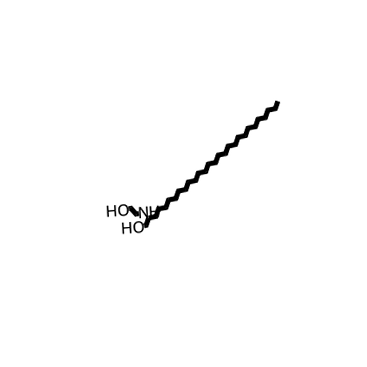 CCCCCCCCCCCCCCCCCCCCCCCCCCC(CO)NCCO